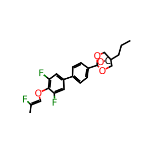 CCCC12COC(c3ccc(-c4cc(F)c(O/C=C(/C)F)c(F)c4)cc3)(OC1)OC2